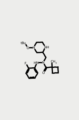 CC(C)(C)ON1CCNC(CN(Nc2ccccc2F)C(=O)C2(C)CCC2)C1